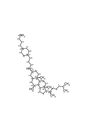 CC(C)CCC[C@@H](C)C1CCC2C3C(CC[C@@]21C)[C@@]1(C)CC[C@H](NCCCN2CCN(CCCN)CC2)CC1C[C@@H]3O